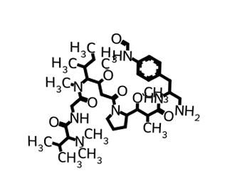 CCC(C)C(C(CC(=O)N1CCCC1C(OC)C(C)C(=O)NC(CN)Cc1ccc(NC=O)cc1)OC)N(C)C(=O)CNC(=O)C(C(C)C)N(C)C